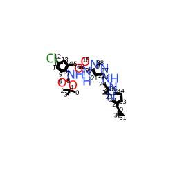 CC(C)(C)OC(=O)Nc1ccc(Cl)cc1COC(=O)Nc1cc(NCc2cn3cc(C4CC4)ccc3n2)ncn1